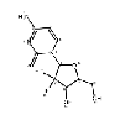 C=C1N=C(N)C=CN1C1OC(CO)C(O)C1(F)F